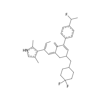 C=C1C(c2ccc(C(C)F)cc2)=CC(CC2CCC(F)(F)CC2)C/C1=C/C(=C\C)c1c(C)c[nH]c1C